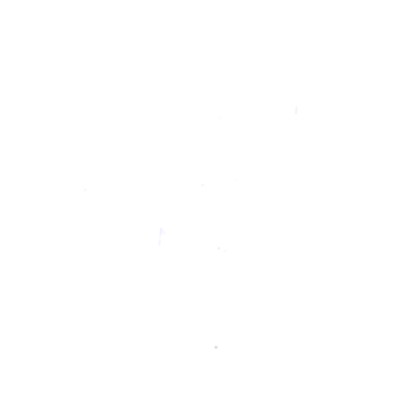 C=CCNc1cc(C(=O)CC(C)C)ccc1OC(F)F